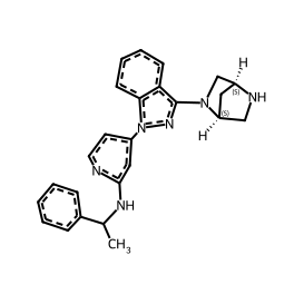 CC(Nc1cc(-n2nc(N3C[C@@H]4C[C@H]3CN4)c3ccccc32)ccn1)c1ccccc1